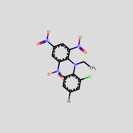 CCN(c1c(Cl)cc(Br)cc1Cl)c1c([N+](=O)[O-])cc([N+](=O)[O-])cc1[N+](=O)[O-]